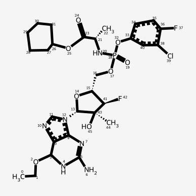 CCOC1NC(N)=Nc2c1ncn2[C@@H]1O[C@H](COP(=O)(N[C@@H](C)C(=O)OC2CCCCC2)Oc2ccc(F)c(Cl)c2)[C@@H](F)[C@@]1(C)O